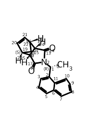 C[C@H](c1cccc2ccccc12)N1C(=O)[C@@H]2[C@H](C1=O)[C@@H]1C=C[C@H]2C1